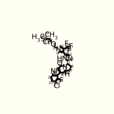 C[Si](C)(C)CCOCn1cc(-c2cnc([C@@H]3CC[C@@H]4CC(c5c(N)ccc(Cl)c5F)=CC(=O)N43)[nH]2)c(C(F)(F)F)c1